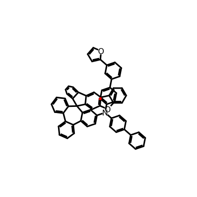 c1ccc(-c2ccc(N(c3ccc(-c4cccc(-c5ccco5)c4)cc3)c3ccc4c(c3)C3(c5ccccc5-c5ccccc5-4)c4ccccc4-c4cc5c(cc43)oc3ccccc35)cc2)cc1